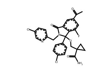 CC(=O)c1cc(F)c2c(c1)C(=O)N(Cc1ccc(Cl)cn1)C2(OCC1(C(N)=O)CC1)c1ccc(Cl)cc1